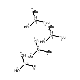 CCCC[SiH](CCCC)CCCC.CCCC[SiH](CCCC)CCCC.CCCC[SiH](CCCC)CCCC.OP(O)O